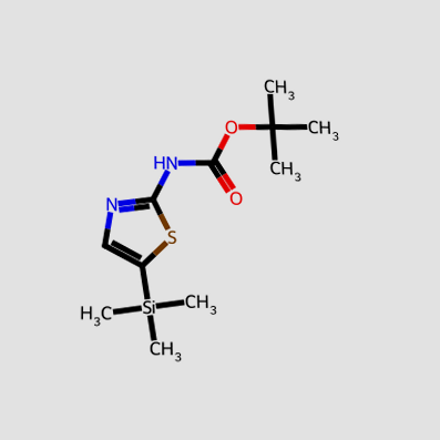 CC(C)(C)OC(=O)Nc1ncc([Si](C)(C)C)s1